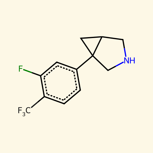 Fc1cc(C23CNCC2C3)ccc1C(F)(F)F